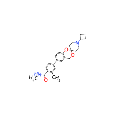 CNC(=O)c1ccc(-c2ccc3c(c2)COC2(CCN(C4CCC4)CC2)O3)cc1C